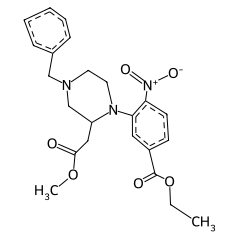 CCOC(=O)c1ccc([N+](=O)[O-])c(N2CCN(Cc3ccccc3)CC2CC(=O)OC)c1